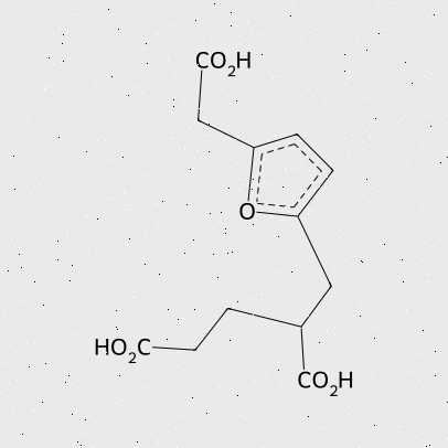 O=C(O)CCC(Cc1ccc(CC(=O)O)o1)C(=O)O